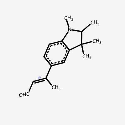 C/C(=C\C=O)c1ccc2c(c1)C(C)(C)C(C)N2C